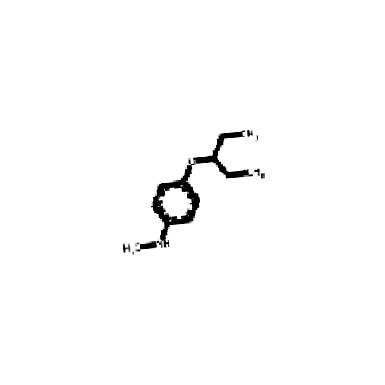 CCC(CC)Oc1ccc(NC)cc1